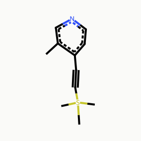 Cc1cnccc1C#CS(C)(C)C